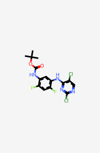 CC(C)(C)OC(=O)Nc1cc(Nc2nc(Cl)ncc2Cl)c(F)cc1F